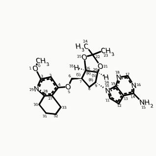 COc1cc(OC[C@@H]2C[C@@H](n3ccc4c(N)ncnc43)[C@@H]3OC(C)(C)O[C@H]23)c2c(n1)CCCC2